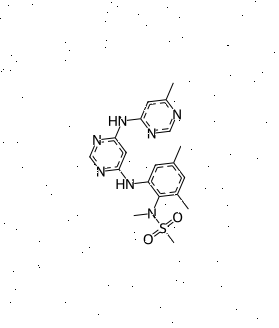 Cc1cc(C)c(N(C)S(C)(=O)=O)c(Nc2cc(Nc3cc(C)ncn3)ncn2)c1